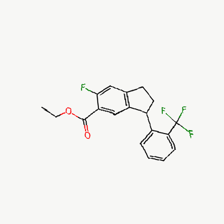 CCOC(=O)c1cc2c(cc1F)CCC2c1ccccc1C(F)(F)F